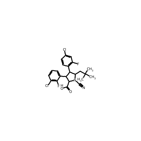 CC(C)(C)CC1C(c2ccc(Cl)cc2F)C(c2cccc(Cl)c2F)C(C(=O)O)N1C#N